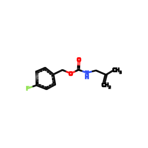 C=C(C)CNC(=O)OCc1ccc(F)cc1